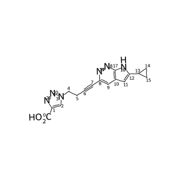 O=C(O)c1cn(CCC#Cc2cc3cc(C4CC4)[nH]c3nn2)nn1